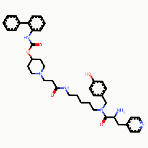 NC(Cc1ccncc1)C(=O)N(CCCCCNC(=O)CCN1CCC(OC(=O)Nc2ccccc2-c2ccccc2)CC1)Cc1ccc(O)cc1